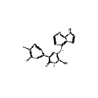 CC(C)c1[nH]c(=O)c(-c2ccc(F)c(Cl)c2)cc1Nc1ccnc2[nH]ccc12